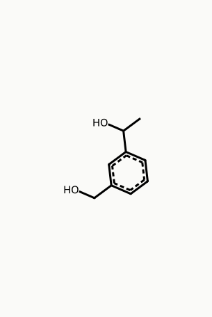 CC(O)c1cccc(CO)c1